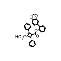 O=C(O)C1[C@@H](c2ccccc2)C(C(=O)Oc2ccccc2-c2ccc3c(c2)OCO3)[C@@H]1c1ccccc1